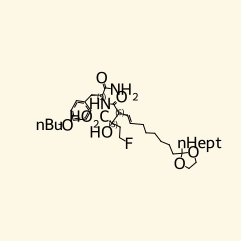 CCCCCCCC1(CCCCCCC=C[C@H](C(=O)N[C@@H](Cc2ccc(OCCCC)cc2)C(N)=O)[C@@](O)(CCF)C(=O)O)OCCO1